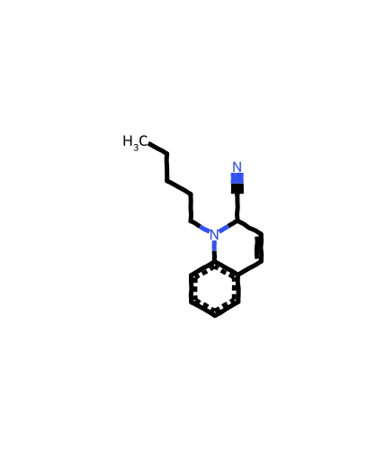 CCCCCN1c2ccccc2C=CC1C#N